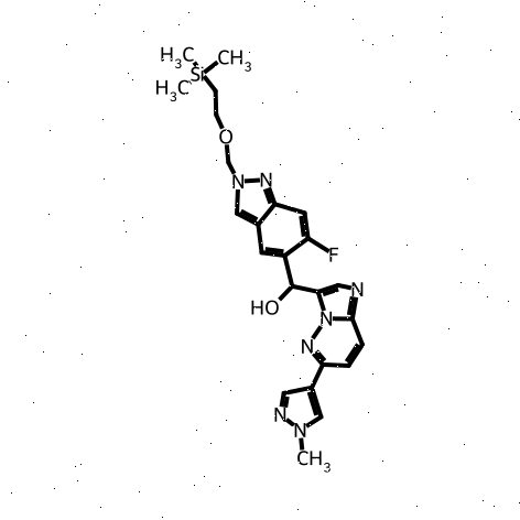 Cn1cc(-c2ccc3ncc(C(O)c4cc5cn(COCC[Si](C)(C)C)nc5cc4F)n3n2)cn1